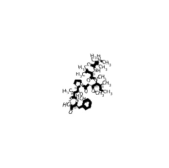 CC[C@H](C)[C@@H]([C@@H](CC(=O)N1CCC[C@H]1[C@H](OC)[C@@H](C)C(=S)N[C@@H](Cc1ccccc1)C(=O)O)OC)N(C)C(=O)[C@@H](NC(=O)C(C)(C)NC)C(C)C